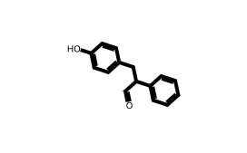 O=[C]C(Cc1ccc(O)cc1)c1ccccc1